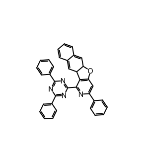 C1=c2ccccc2=CC2c3c(cc(-c4ccccc4)nc3-c3nc(-c4ccccc4)nc(-c4ccccc4)n3)OC12